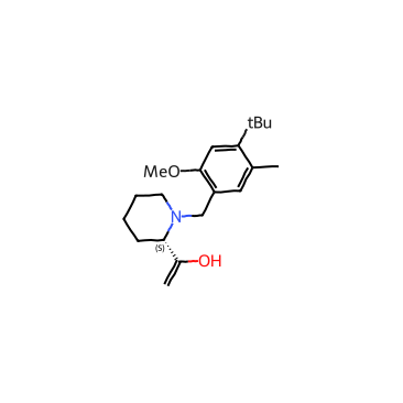 C=C(O)[C@@H]1CCCCN1Cc1cc(C)c(C(C)(C)C)cc1OC